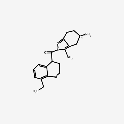 CCc1cccc2c1NCCC2C(=O)n1nc2c(c1N)C[C@H](N)CC2